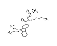 CCCCCCC/C(=N\OC(C)=O)C(=O)c1ccc2c(c1)C(CCC)(CCC)c1ccccc1-2